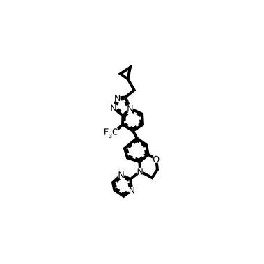 FC(F)(F)c1c(-c2ccc3c(c2)OCCN3c2ncccn2)ccn2c(CC3CC3)nnc12